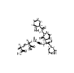 CC#CCn1c(N2CCNCC2)nc2cnn(CC(=O)c3ccccc3N)c(=O)c21.O=C(O)C(F)(F)F.O=C(O)C(F)(F)F